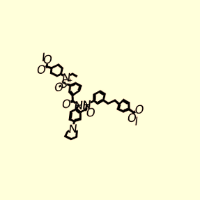 CCN(C1CCC(C(=O)OI)CC1)[S+]([O-])c1cccc(C(=O)Nc2ccc(N3CCCCC3)cc2C(=O)Nc2cccc(CCc3ccc(C(=O)OI)cc3)c2)c1